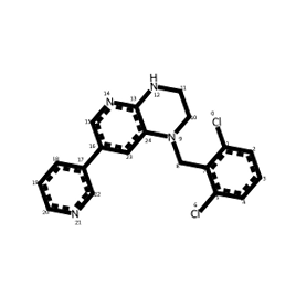 Clc1cccc(Cl)c1CN1CCNc2ncc(-c3cccnc3)cc21